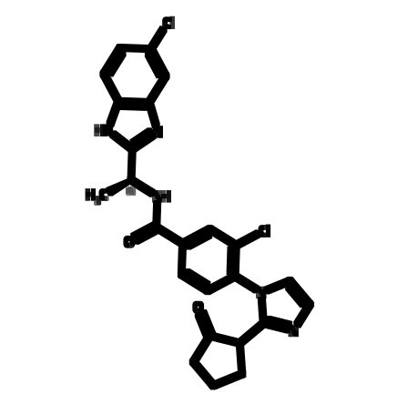 C[C@H](NC(=O)c1ccc(-n2ccnc2C2CCCC2=O)c(Cl)c1)c1nc2cc(Cl)ccc2[nH]1